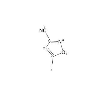 N#Cc1cc(I)on1